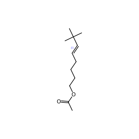 CC(=O)OCCCC/C=C/C(C)(C)C